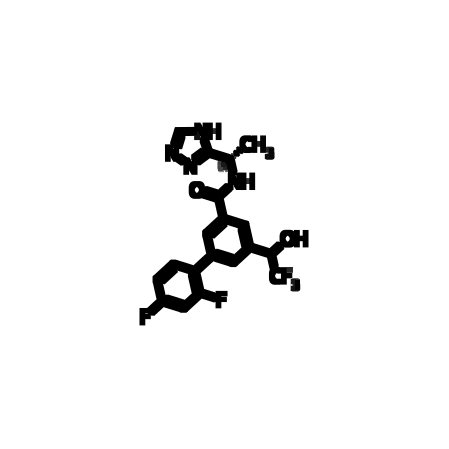 C[C@H](NC(=O)c1cc(-c2ccc(F)cc2F)cc(C(O)C(F)(F)F)c1)c1nnc[nH]1